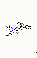 C/C=C\C=C(/C)c1nc(C2=CCCC=C2)nc(C2C=CC(c3ccc(-c4ccc5ccccc5c4)c4oc5ccccc5c34)=C3CCC=CC32)n1